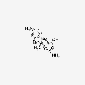 C[C@@]1(O)[C@H](OC(=O)CN)[C@@H](CO)O[C@H]1n1ccc(N)nc1=O